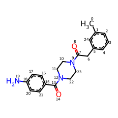 Cc1cccc(CC(=O)N2CCN(C(=O)c3ccc(N)cc3)CC2)c1